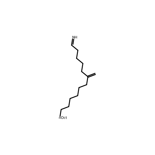 C=C(CCCCC=N)CCCCCCCCCCCCCC